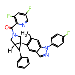 Cc1cc2c(cnn2-c2ccc(F)cc2)cc1[C@]12CN(C(=O)c3ncc(F)cc3F)C[C@H]1[C@@H]2c1ccccc1